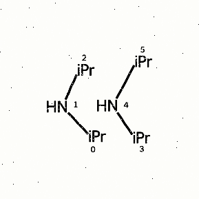 CC(C)NC(C)C.CC(C)NC(C)C